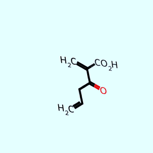 C=CCC(=O)C(=C)C(=O)O